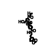 C=CC(=O)NC1CC(CO)N(S(=O)(=O)c2ccc(C(=O)NCCc3ccc4c(c3)OCO4)cc2)C1